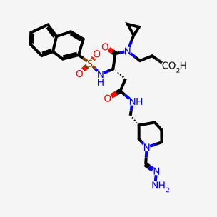 NN=CN1CCC[C@@H](CNC(=O)C[C@H](NS(=O)(=O)c2ccc3ccccc3c2)C(=O)N(CCC(=O)O)C2CC2)C1